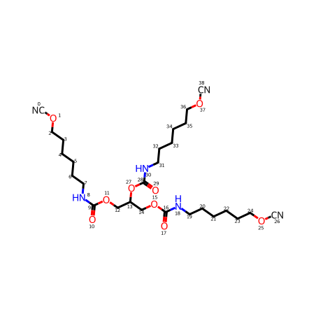 N#COCCCCCCNC(=O)OCC(COC(=O)NCCCCCCOC#N)OC(=O)NCCCCCCOC#N